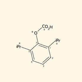 CC(C)c1cccc(C(C)C)c1OC(=O)O